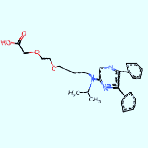 CC(C)N(CCCOCCOCC(=O)O)c1cnc(-c2ccccc2)c(-c2ccccc2)n1